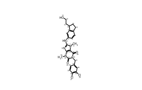 Cn1c(Nc2ccc3c(c2)C(CCO)CC3)nc2c1c(=O)n(Cc1ccc(Cl)c(Cl)c1)c(=O)n2C